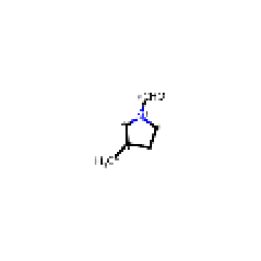 CC1CCN(C=O)C1